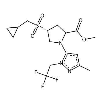 COC(=O)C1C[C@@H](S(=O)(=O)CC2CC2)CN1c1cc(C)nn1CC(F)(F)F